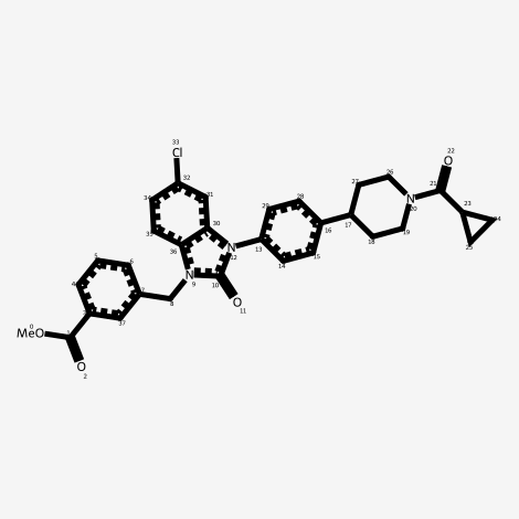 COC(=O)c1cccc(Cn2c(=O)n(-c3ccc(C4CCN(C(=O)C5CC5)CC4)cc3)c3cc(Cl)ccc32)c1